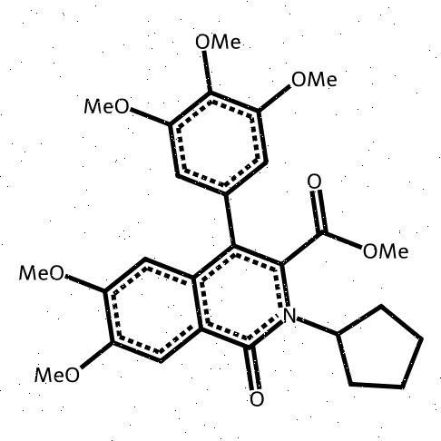 COC(=O)c1c(-c2cc(OC)c(OC)c(OC)c2)c2cc(OC)c(OC)cc2c(=O)n1C1CCCC1